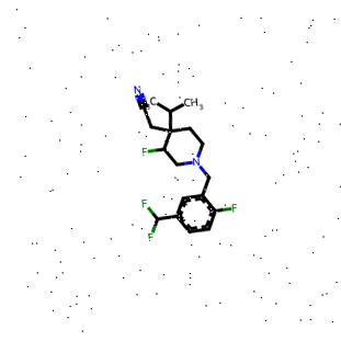 CC(C)C1(CC#N)CCN(Cc2cc(C(F)F)ccc2F)CC1F